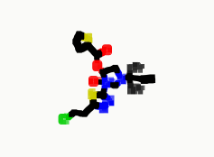 C#CC(CCC)(CCC)N1CC(OC(=O)c2cccs2)[N+]([O-])(c2nnc(CCCl)s2)C1